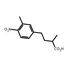 Cc1cc(CCC(C)C(=O)O)ccc1[N+](=O)[O-]